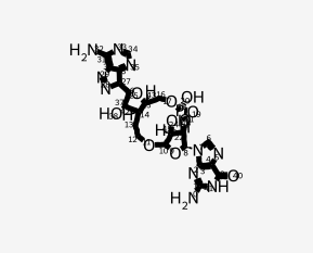 Nc1nc2c(ncn2[C@@H]2OC3OCC[C@@H]4[C@@H](COP(=O)(O)O[C@@H]2[C@@H]3O)OC(C2N=Nc3c(N)ncnc32)[C@@H]4O)c(=O)[nH]1